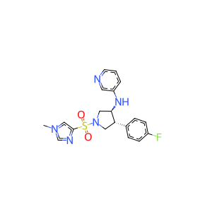 Cn1cnc(S(=O)(=O)N2C[C@@H](Nc3cccnc3)[C@H](c3ccc(F)cc3)C2)c1